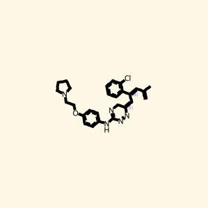 C=C(C)/C=C(\C=C1/CN=C(Nc2ccc(OCCN3CCCC3)cc2)N=N1)c1ccccc1Cl